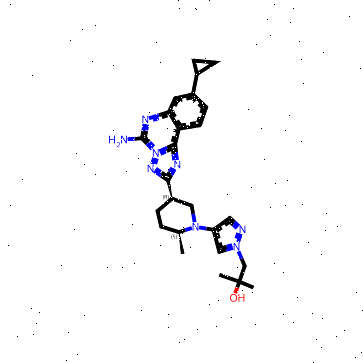 C[C@H]1CC[C@@H](c2nc3c4ccc(C5CC5)cc4nc(N)n3n2)CN1c1cnn(CC(C)(C)O)c1